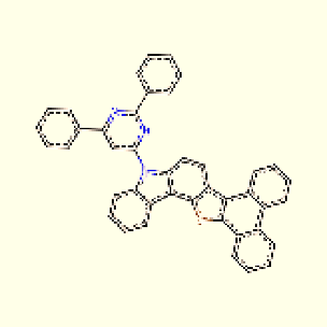 c1ccc(-c2cc(-n3c4ccccc4c4c5sc6c7ccccc7c7ccccc7c6c5ccc43)nc(-c3ccccc3)n2)cc1